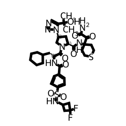 CC(C)(O)c1cnnn1[C@H]1C[C@@H](C(=O)NC2(C(=O)C(N)=O)CCSCC2)N(C(=O)[C@@H](CC2CCCCC2)NC(=O)c2ccc(S(=O)(=O)NC3CC(F)(F)C3)cc2)C1